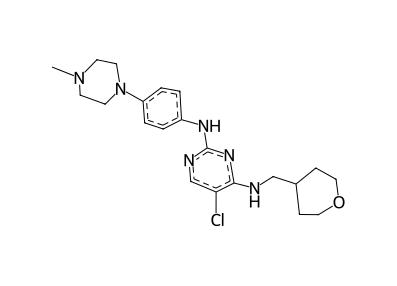 CN1CCN(c2ccc(Nc3ncc(Cl)c(NCC4CCOCC4)n3)cc2)CC1